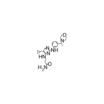 CC(c1cccc(Nc2ncc(C3CC3)c(NCCC(N)=O)n2)c1)N1CCOCC1